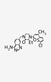 CC[C@H]1C(=O)N(Cc2ccc3c(N)ncnc3c2)CCN1C(=O)C=C(C)c1ccc(Cl)s1